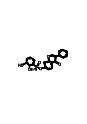 O=c1c(-c2ccccc2)coc2cc(OS(=O)(=O)c3cccc(O)c3O)ccc12